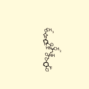 C=C(CCNC(=O)COc1ccc(Cl)c(F)c1)NC(=O)c1cc(N2CC(OC)C2)ccn1